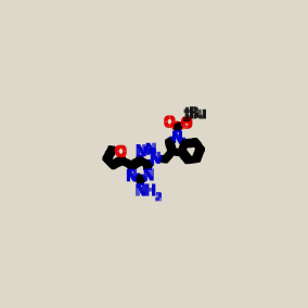 CC(C)(C)OC(=O)n1cc(Cn2nnc3c(-c4ccco4)nc(N)nc32)c2ccccc21